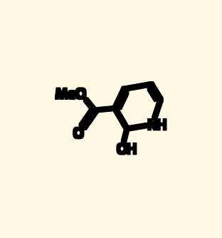 COC(=O)C1=CC=CNC1O